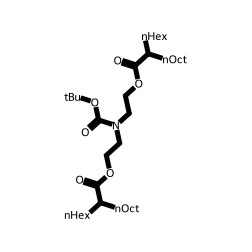 CCCCCCCCC(CCCCCC)C(=O)OCCN(CCOC(=O)C(CCCCCC)CCCCCCCC)C(=O)OC(C)(C)C